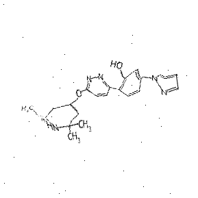 CC[C@@H]1CC(Oc2ccc(-c3ccc(-n4cccn4)cc3O)nn2)CC(C)(C)N1